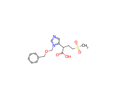 CS(=O)(=O)CCC(C(=O)O)c1cncn1COCc1ccccc1